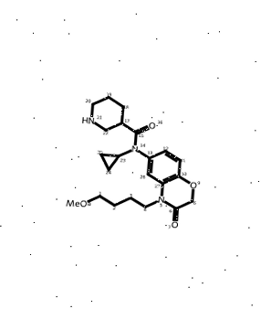 COCCCCN1C(=O)COc2ccc(N(C(=O)C3CCCNC3)C3CC3)cc21